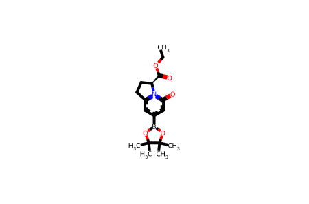 CCOC(=O)[C@@H]1CCc2cc(B3OC(C)(C)C(C)(C)O3)cc(=O)n21